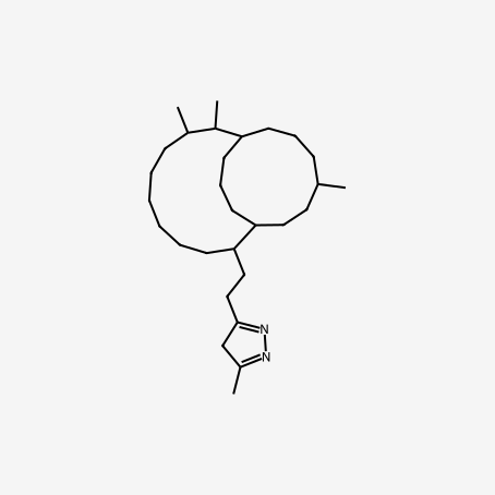 CC1=NN=C(CCC2CCCCCCC(C)C(C)C3CCCC(C)CCC2CCC3)C1